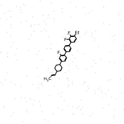 C/C=C/C1CCC(c2ccc(-c3ccc(-c4ccc(CC)c(F)c4F)cc3)c(F)c2)CC1